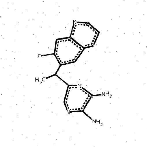 CC(c1cnc(N)c(N)n1)c1cc2cccnc2cc1F